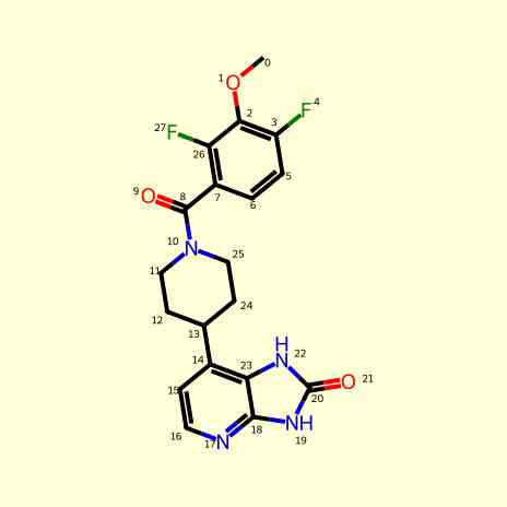 COc1c(F)ccc(C(=O)N2CCC(c3ccnc4[nH]c(=O)[nH]c34)CC2)c1F